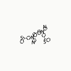 c1cncc(N(c2ccc(-c3csc4ccccc34)cc2)c2ccc(-c3ccc(N(c4ccc(-c5csc6ccccc56)cc4)c4cccnc4)o3)o2)c1